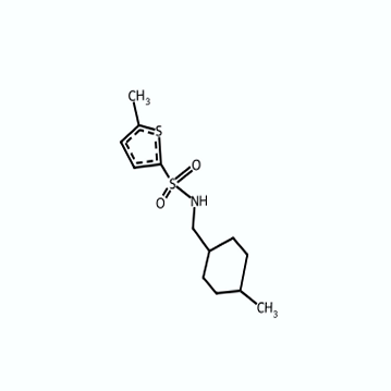 Cc1ccc(S(=O)(=O)NCC2CCC(C)CC2)s1